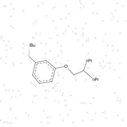 CCCC(CCC)COc1cccc(C[C@@H](C)CC)c1